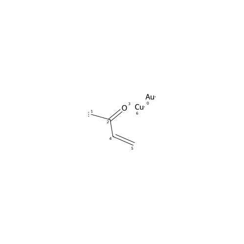 [Au].[C]C(=O)C=C.[Cu]